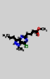 CCCc1nn(C)c2c(Cl)nc(CCCC(=O)OC)nc12